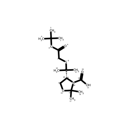 CC(C)(C)OC(=O)CSC(C)(C)[C@H]1COC(C)(C)N1C(=O)O